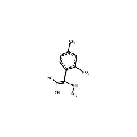 N#CC(C#N)=C(NN)c1ccc(C(F)(F)F)cc1[N+](=O)[O-]